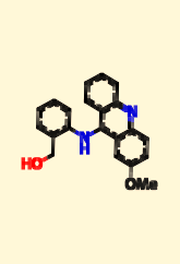 COc1ccc2nc3ccccc3c(Nc3ccccc3CO)c2c1